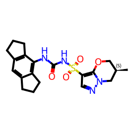 C[C@@H]1COc2c(S(=O)(=O)NC(=O)Nc3c4c(cc5c3CCC5)CCC4)cnn2C1